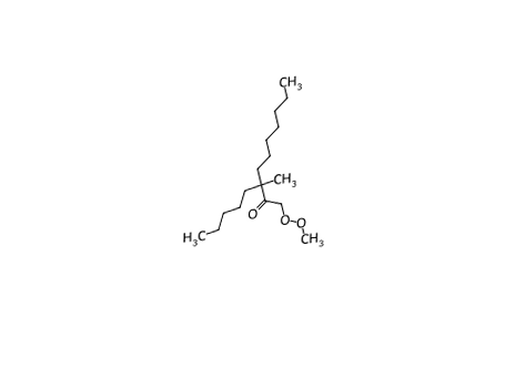 CCCCCCCC(C)(CCCCC)C(=O)COOC